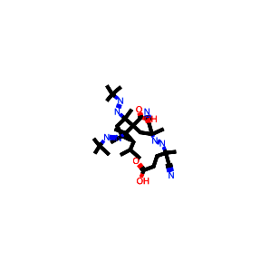 CC(C)CC(C)(N=NC(C)(C)C)C(CC(C)(C#N)N=NC(C)(C#N)CCC(=O)O)(C(=O)O)C(C)(CC(C)C)N=NC(C)(C)C